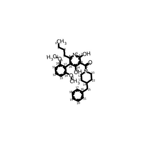 CCCCc1nc(O)c(C(=O)N2CCC(Cc3ccccc3)CC2)c(O)c1-c1c(OC)cccc1OC